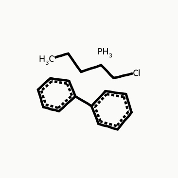 CCCCCCl.P.c1ccc(-c2ccccc2)cc1